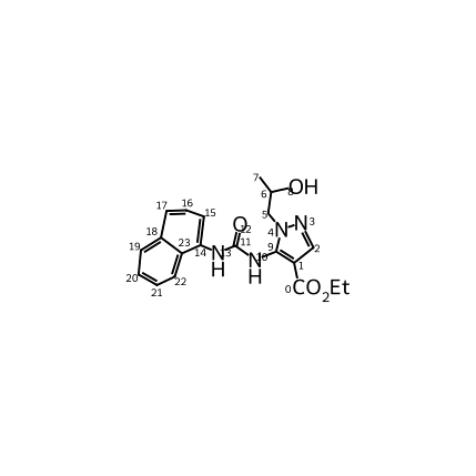 CCOC(=O)c1cnn(CC(C)O)c1NC(=O)Nc1cccc2ccccc12